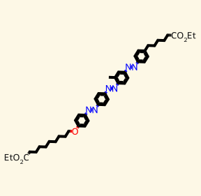 CCOC(=O)CCCCCCCCCOc1ccc(N=Nc2ccc(N=Nc3ccc(N=Nc4ccc(CCCCCC(=O)OCC)cc4)cc3C)cc2)cc1